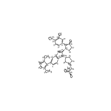 Cc1noc(C)c1-c1ccc2c(c1)nc([C@@H]1CCC(=O)N1c1ccc(Cl)c(Cl)c1)n2[C@@H]1CCN(C[SH](=O)=O)C1